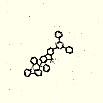 CC1(C)c2cc(-c3nc(-c4ccccc4)nc(-c4ccccc4)n3)ccc2-c2ccc(C3(c4ccccc4)c4ccccc4-n4c5ccccc5c5cccc3c54)cc21